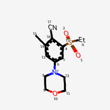 CCS(=O)(=O)c1cc(N2CCOCC2)cc(C)c1C#N